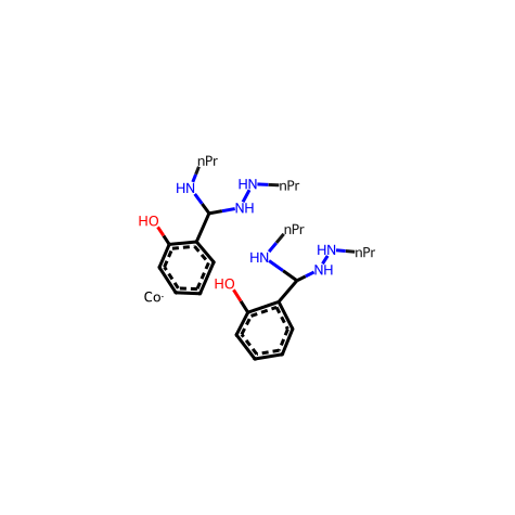 CCCNNC(NCCC)c1ccccc1O.CCCNNC(NCCC)c1ccccc1O.[Co]